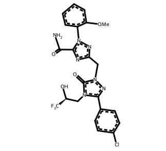 COc1ccccc1-n1nc(Cn2nc(-c3ccc(Cl)cc3)n(C[C@H](O)C(F)(F)F)c2=O)nc1C(N)=O